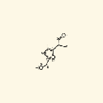 CC(C=O)c1ccc(CO)o1